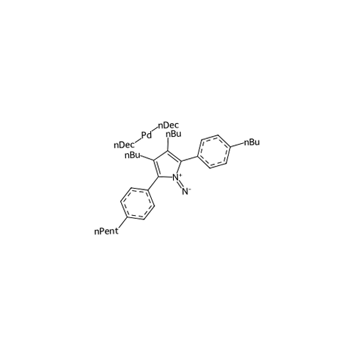 CCCCCCCCC[CH2][Pd][CH2]CCCCCCCCC.CCCCCc1ccc(C2=C(CCCC)C(CCCC)=C(c3ccc(CCCC)cc3)[N+]2=[N-])cc1